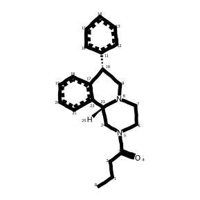 CCCC(=O)N1CCN2C[C@@H](c3ccccc3)c3ccccc3[C@H]2C1